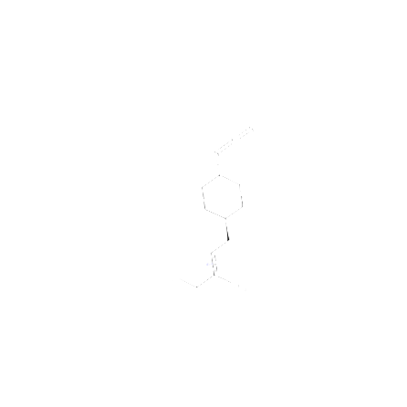 C/C(=C\C[C@H]1CC[C@H](N=[N+]=[N-])CC1)CO